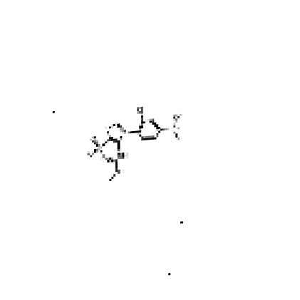 CNC1=NS(=O)(=O)c2scc(-c3ccc([S+](C)[O-])cc3Cl)c2N1